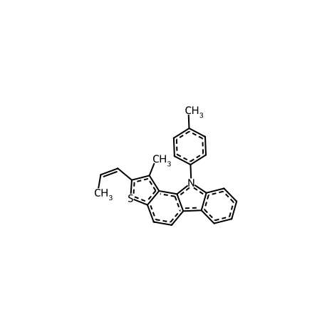 C/C=C\c1sc2ccc3c4ccccc4n(-c4ccc(C)cc4)c3c2c1C